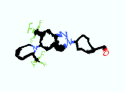 O=CC1CCC(n2cc3cc(N4CC=CC=C4C(F)(F)F)c(C(F)(F)F)cc3n2)CC1